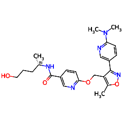 Cc1onc(-c2ccc(N(C)C)nc2)c1COc1ccc(C(=O)N[C@@H](C)CCCO)cn1